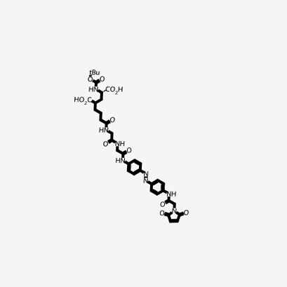 CC(C)(C)OC(=O)N[C@@H](CC(CCCC(=O)NCC(=O)NCC(=O)Nc1ccc(/N=N/c2ccc(NC(=O)CN3C(=O)C=CC3=O)cc2)cc1)C(=O)O)C(=O)O